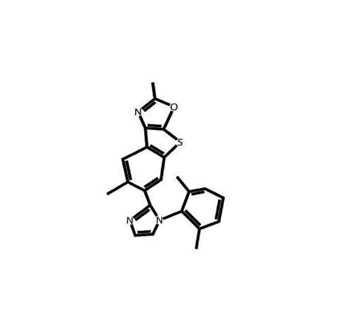 Cc1nc2c(o1)sc1cc(-c3nccn3-c3c(C)cccc3C)c(C)cc12